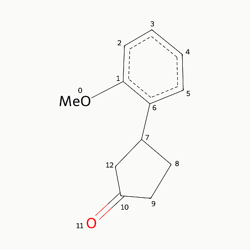 COc1ccccc1C1CCC(=O)C1